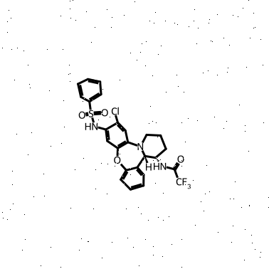 O=C(N[C@H]1CCCN2c3cc(Cl)c(NS(=O)(=O)c4ccccc4)cc3Oc3ccccc3[C@@H]12)C(F)(F)F